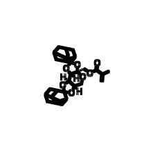 C=C(C)C(=O)OC[C@]12OC[C@H]3OC4(O[C@H]3[C@@H]1OC1(O2)C2CC3CC(C2)CC1C3)C1CC2CC(C1)CC4C2